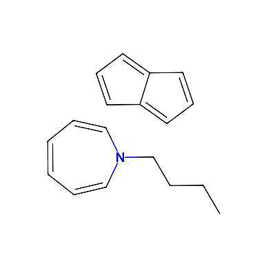 C1=CC2=CC=CC2=C1.CCCCN1C=CC=CC=C1